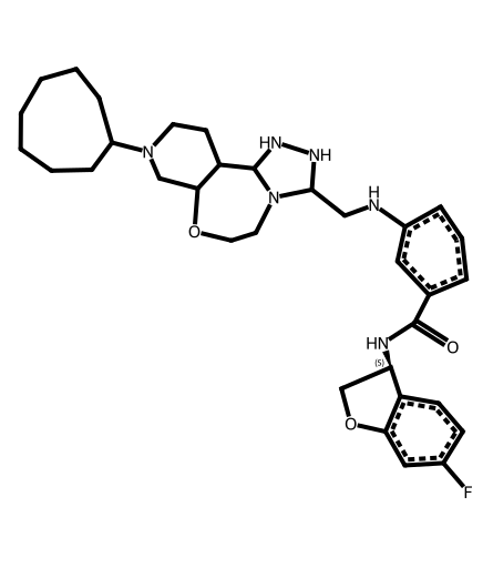 O=C(N[C@@H]1COc2cc(F)ccc21)c1cccc(NCC2NNC3C4CCN(C5CCCCCCC5)CC4OCCN23)c1